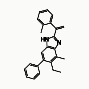 C=C(c1nc2c(C)c(CC)c(-c3ccccc3)cc2[nH]1)c1ccccc1C